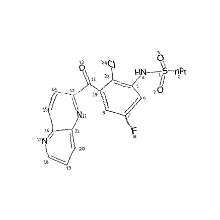 CCCS(=O)(=O)Nc1cc(F)cc(C(=O)c2ccc3ncccc3n2)c1Cl